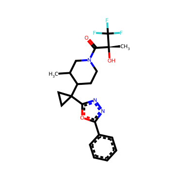 CC1CN(C(=O)[C@@](C)(O)C(F)(F)F)CCC1C1(c2nnc(-c3ccccc3)o2)CC1